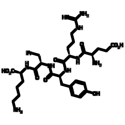 CC(C)C[C@H](NC(=O)[C@H](Cc1ccc(O)cc1)NC(=O)[C@H](CCCNC(=N)N)NC(=O)[C@@H](N)CCC(=O)O)C(=O)N[C@@H](CCCCN)C(=O)O